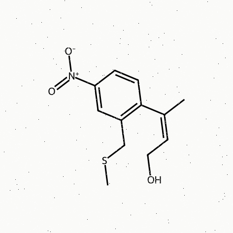 CSCc1cc([N+](=O)[O-])ccc1/C(C)=C\CO